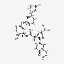 CC(C)c1cc(NC(=O)Nc2cc(Oc3nccc(-c4cnn(C)c4)n3)ccc2F)n(-c2ccc3ncccc3c2)n1